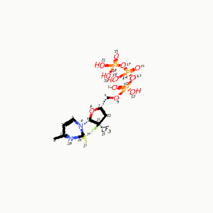 Cc1ccn([C@@H]2O[C@H](COP(=O)(O)OP(=O)(O)OP(=O)(O)O)C[C@]2(F)C(F)(F)F)c(=S)n1